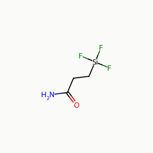 NC(=O)CC[Si](F)(F)F